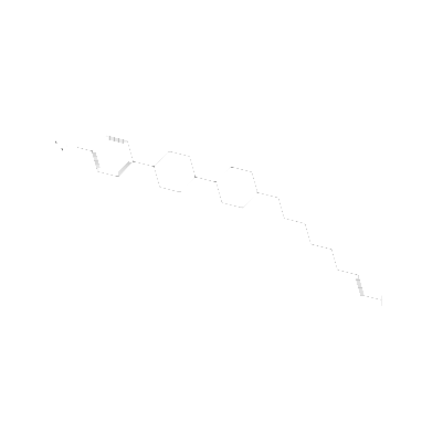 N#Cc1ccc(C2CCC(C3CCC(CCCCCCC=CF)CC3)CC2)cc1